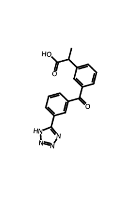 CC(C(=O)O)c1cccc(C(=O)c2cccc(-c3nnn[nH]3)c2)c1